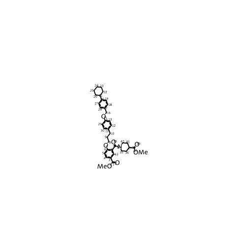 COC(=O)c1ccc(OCCCc2ccc(OCc3ccc(C4CCCCC4)cc3)cc2)c(C(=O)N2CCC(C(=O)OC)CC2)c1